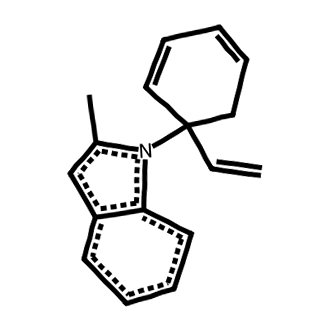 C=CC1(n2c(C)cc3ccccc32)C=CC=CC1